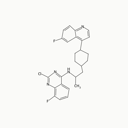 CC(CC1CCC(c2ccnc3ccc(F)cc23)CC1)Nc1nc(Cl)nc2c(F)cccc12